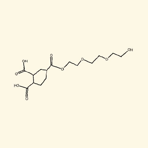 O=C(OCCOCCOCCO)C1CCC(C(=O)O)C(C(=O)O)C1